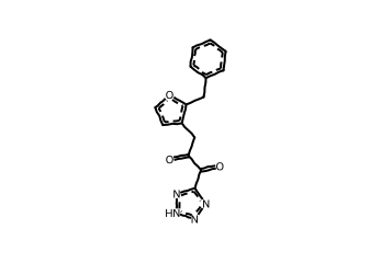 O=C(Cc1ccoc1Cc1ccccc1)C(=O)c1nn[nH]n1